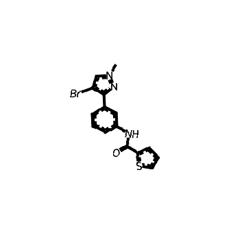 Cn1cc(Br)c(-c2cccc(NC(=O)c3cccs3)c2)n1